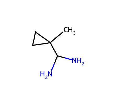 CC1(C(N)N)CC1